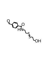 O=Cc1ccc(C(=O)NCCSSCCO)cc1